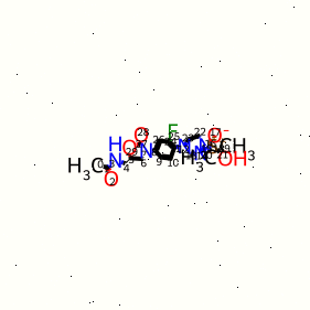 CC(=O)NC[C@H]1CN(c2ccc(N3C=NN([S+]([O-])C(C)(C)O)CC3)c(F)c2)C(=O)O1